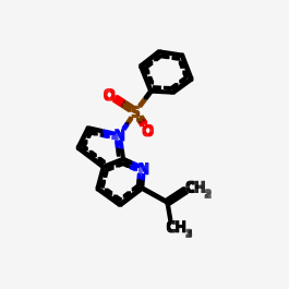 C=C(C)c1ccc2ccn(S(=O)(=O)c3ccccc3)c2n1